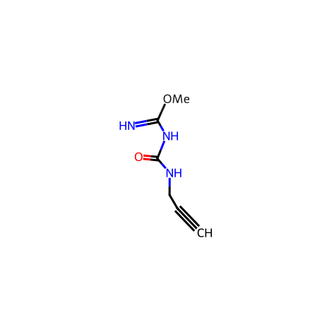 C#CCNC(=O)NC(=N)OC